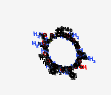 CCCC[C@H]1C(=O)N(C)[C@@H](CCCC)C(=O)N[C@@H](CCCN)C(=O)N[C@H](C(=O)NCC(N)=O)CSCC(=O)N[C@@H](Cc2ccc(OC)cc2)C(=O)N(C)[C@@H](C)C(=O)N[C@@H](CC(N)=O)C(=O)N2CCC[C@H]2C(=O)N[C@@H](Cc2cnc[nH]2)C(=O)N[C@@H](CCCCN)C(=O)N2C[C@H](O)C[C@H]2C(=O)N[C@@H](Cc2c[nH]c3ccccc23)C(=O)N[C@@H](CC(=O)O)C(=O)N[C@@H](Cc2c[nH]c3ccccc23)C(=O)N1C